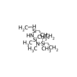 C=C[SiH](C=C)N[Si](C)(C)N(C)[Si](C)(C=C)C=C